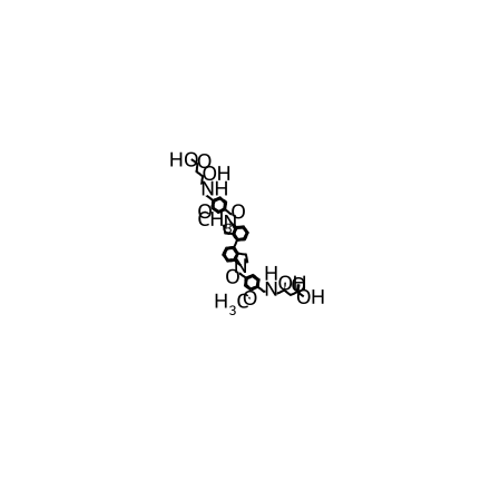 COc1cc(C(=O)N2CCc3c(-c4cccc5c4CCN5C(=O)c4ccc(CNC[C@@H](O)CC(=O)O)c(OC)c4)cccc32)ccc1CNC[C@@H](O)CC(=O)O